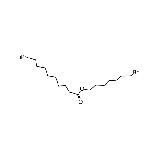 CC(C)CCCCCCCCC(=O)OCCCCCCCBr